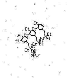 CCc1ccc(CC[N+](CC)(CC)CC)cc1CC.CCc1ccc(CC[N+](CC)(CC)CC)cc1CC.CCc1ccc(CC[N+](CC)(CC)CC)cc1CC.[O-]B([O-])[O-]